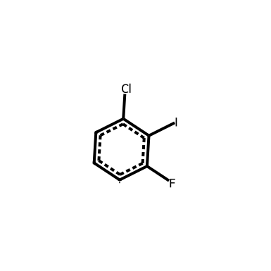 Fc1[c]ccc(Cl)c1I